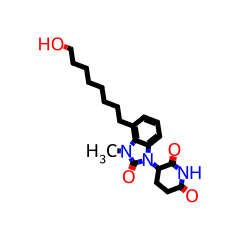 Cn1c(=O)n(C2CCC(=O)NC2=O)c2cccc(CCCCCCCCO)c21